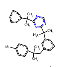 CC(C)(C)c1ccc(C(C)(C)Cc2cccc(C(C)(C)c3ncnc(C(C)(C)c4ccccc4)n3)c2)cc1